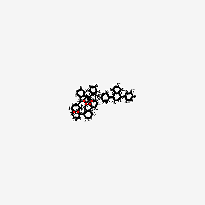 C1=CC2CC(c3ccccc31)c1ccccc1N2c1c(-c2ccccc2)cccc1-c1ccc(N(c2ccc(-c3ccc(-c4ccccc4)c4ccccc34)cc2)c2ccccc2-c2ccccc2)cc1